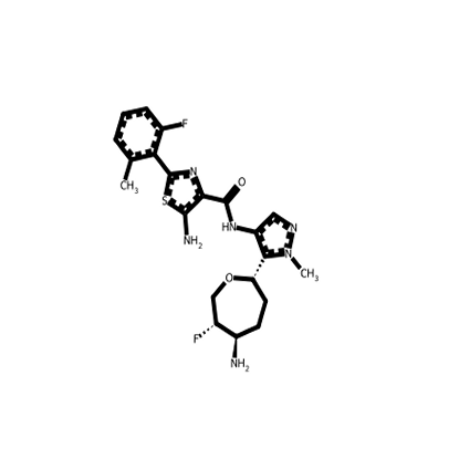 Cc1cccc(F)c1-c1nc(C(=O)Nc2cnn(C)c2[C@@H]2CC[C@@H](N)[C@H](F)CO2)c(N)s1